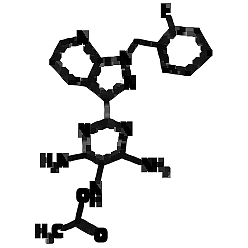 CC(=O)ONc1c(N)nc(-c2nn(Cc3ccccc3F)c3ncccc23)nc1N